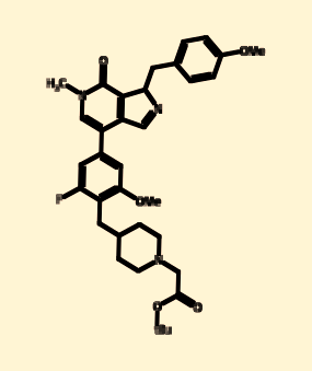 COc1ccc(CC2N=Cc3c(-c4cc(F)c(CC5CCN(CC(=O)OC(C)(C)C)CC5)c(OC)c4)cn(C)c(=O)c32)cc1